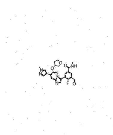 CNC(=O)c1cc(C=O)c(F)c(-c2cnc3cc(-c4cnn(C)c4)c(O[C@H]4CCOC4)nn23)c1